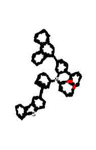 c1ccc(-c2ccc(-c3cc4ccccc4c4ccccc34)cc2N(c2ccccc2)c2cccc(-c3ccc4sc5ccccc5c4c3)c2)cc1